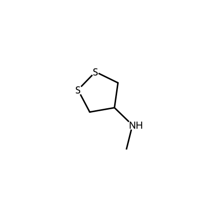 CNC1CSSC1